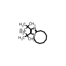 CC(C)(C)c1nc2n(c1C(C)(C)C)CCCCCCCC2